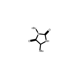 CCCCC1NC(=O)N(CCCC)C1=O